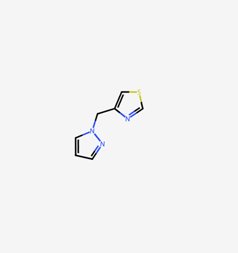 c1cnn(Cc2cscn2)c1